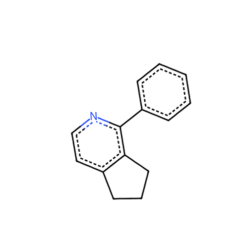 c1ccc(-c2nccc3c2CCC3)cc1